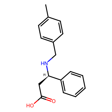 Cc1ccc(CN[C@H](CC(=O)O)c2ccccc2)cc1